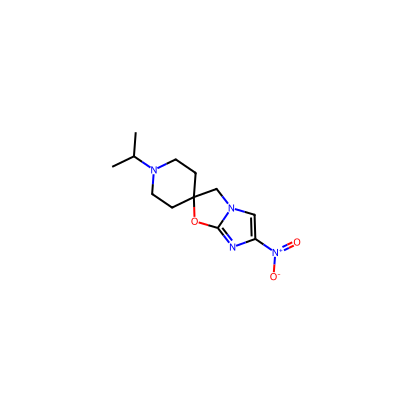 CC(C)N1CCC2(CC1)Cn1cc([N+](=O)[O-])nc1O2